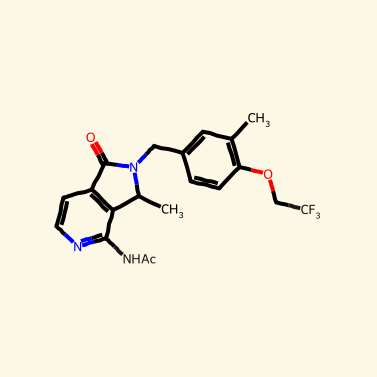 CC(=O)Nc1nccc2c1C(C)N(Cc1ccc(OCC(F)(F)F)c(C)c1)C2=O